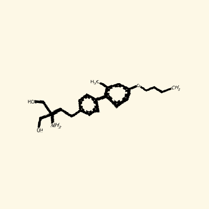 CCCCOc1ccc(-c2ccc(CCC(N)(CO)CO)cc2)c(C)c1